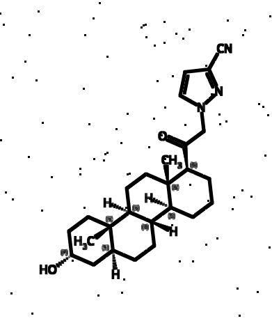 C[C@]12CC[C@@H](O)C[C@@H]1CC[C@@H]1[C@@H]2CC[C@]2(C)[C@@H](C(=O)Cn3ccc(C#N)n3)CCC[C@@H]12